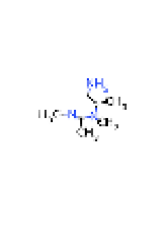 C/N=C(\C)N(C)[C@H](C)CN